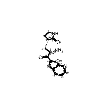 N[C@@H](C[C@@H]1CCNC1=O)C(=O)c1nc2cccnc2s1